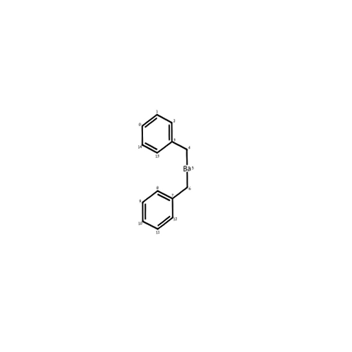 c1ccc([CH2][Ba][CH2]c2ccccc2)cc1